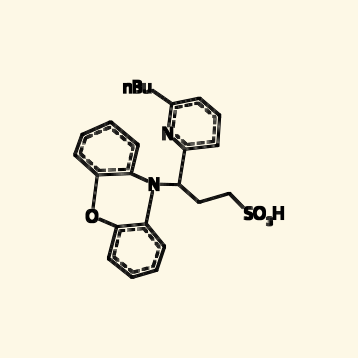 CCCCc1cccc(C(CCS(=O)(=O)O)N2c3ccccc3Oc3ccccc32)n1